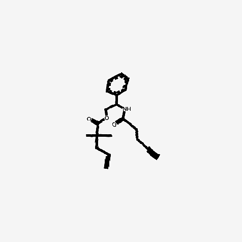 C#CCCC(=O)NC(COC(=O)C(C)(C)CC=C)c1ccccc1